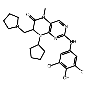 CN1C(=O)C(CN2CCCC2)N(C2CCCC2)c2nc(Nc3cc(Cl)c(O)c(Cl)c3)ncc21